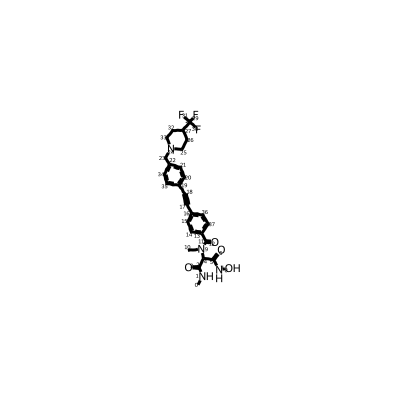 CNC(=O)C(C(=O)NO)N(C)C(=O)c1ccc(C#Cc2ccc(CN3CCC(C(F)(F)F)CC3)cc2)cc1